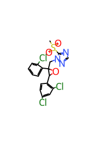 CS(=O)(=O)c1ncnn1CC1(c2ccccc2Cl)OC1c1ccc(Cl)cc1Cl